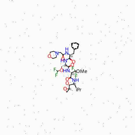 COC(F)(F)[C@@H](NC(=O)[C@H](COC(F)F)NC(=O)[C@H](Cc1ccccc1)NC(=O)CN1CCOCC1)C(=O)N[C@@H](CC(C)C)C(=O)[C@@]1(C)CO1